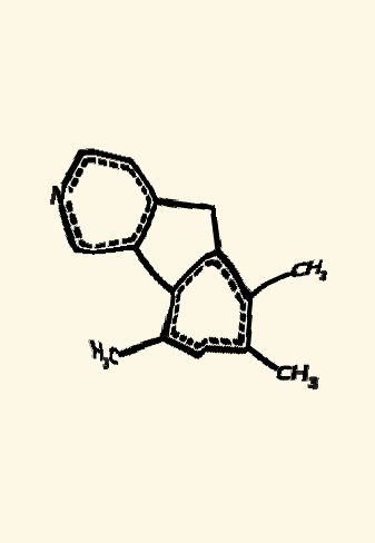 Cc1cc(C)c2c(c1C)Cc1ccncc1-2